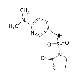 CN(C)c1ccc(NS(=O)(=O)N2CCOC2=O)cn1